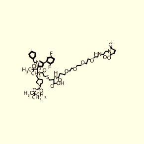 CC(C)(C)OC(=O)N1CCC(CN(C(=O)CSCC(NC(=O)CCOCCOCCOCCOCCNC(=O)CN2C(=O)C=CC2=O)C(=O)O)C(c2cc(-c3cc(F)ccc3F)cn2Cc2ccccc2)C(C)(C)C)C1